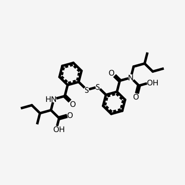 CCC(C)CN(C(=O)O)C(=O)c1ccccc1SSc1ccccc1C(=O)NC(C(=O)O)C(C)CC